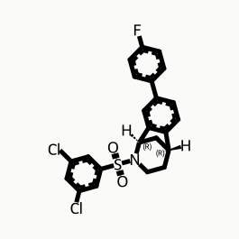 O=S(=O)(c1cc(Cl)cc(Cl)c1)N1CC[C@@H]2C[C@@H]1c1cc(-c3ccc(F)cc3)ccc12